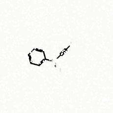 CC#CN(CC)c1ccccc1